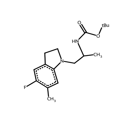 Cc1cc2c(cc1F)CCN2CC(C)NC(=O)OC(C)(C)C